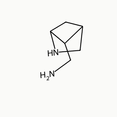 NCC1C2CNC1C2